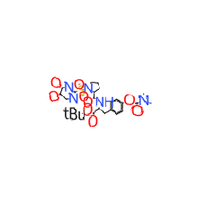 CN(C)C(=O)Oc1ccc(C[C@H](NC(=O)[C@@H]2CCCN2S(=O)(=O)C2=NC(=O)C(=O)C=N2)C(=O)OC(C)(C)C)cc1